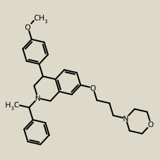 COc1ccc(C2CN(C(C)c3ccccc3)Cc3cc(OCCCN4CCOCC4)ccc32)cc1